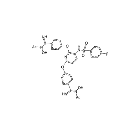 CC(=O)N(O)C(=N)c1ccc(Oc2ccc(NS(=O)(=O)c3ccc(F)cc3)c(Oc3ccc(C(=N)N(O)C(C)=O)cc3)n2)cc1